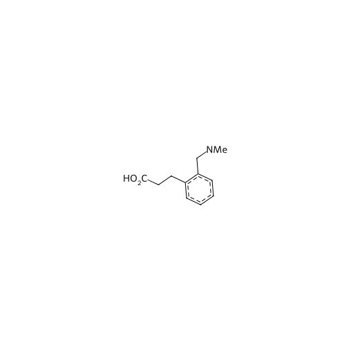 CNCc1ccccc1CCC(=O)O